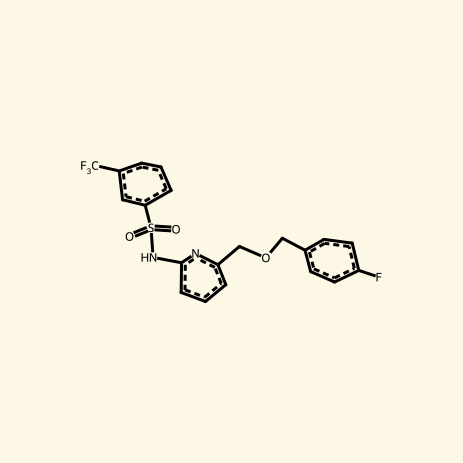 O=S(=O)(Nc1cccc(COCc2ccc(F)cc2)n1)c1cccc(C(F)(F)F)c1